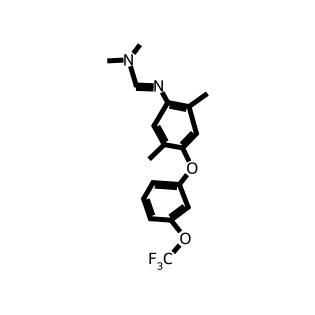 Cc1cc(Oc2cccc(OC(F)(F)F)c2)c(C)cc1N=CN(C)C